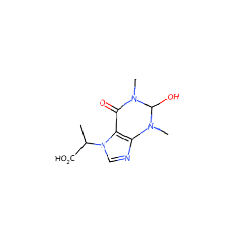 CC(C(=O)O)n1cnc2c1C(=O)N(C)C(O)N2C